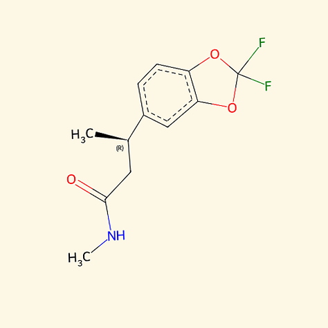 CNC(=O)C[C@@H](C)c1ccc2c(c1)OC(F)(F)O2